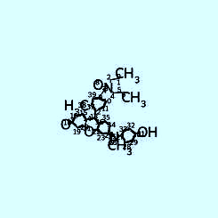 CCCN(CCC)C(=O)c1ccc(-c2c3ccc(=O)cc-3oc3cc(N(C)c4ccc(O)cc4)ccc23)c(C)c1